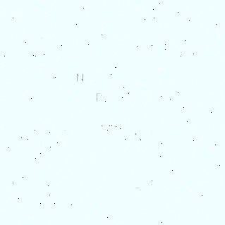 Cc1cc(C(C)(C)C)ccc1N1c2ccc(C(C)(C)C)cc2B2c3ccc(N4c5ccc(F)cc5C5(C)CCCCC45C)cc3N(c3ccc(C(C)(C)C)cc3)c3cc(C(C)(C)C)cc1c32